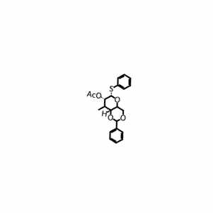 CC(=O)O[C@H]1C(C)[C@H]2OC(c3ccccc3)OCC2O[C@H]1Sc1ccccc1